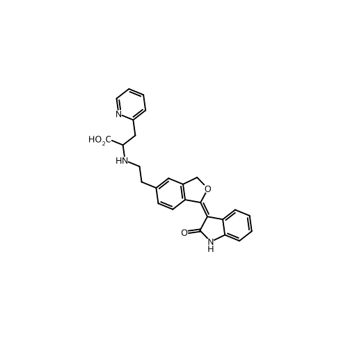 O=C1Nc2ccccc2C1=C1OCc2cc(CCNC(Cc3ccccn3)C(=O)O)ccc21